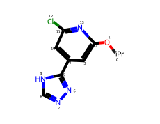 CC(C)Oc1cc(-c2nnc[nH]2)cc(Cl)n1